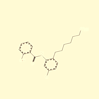 O=C(O)CCCCCCc1ccc(Cl)cc1NC(=O)c1ccccc1O